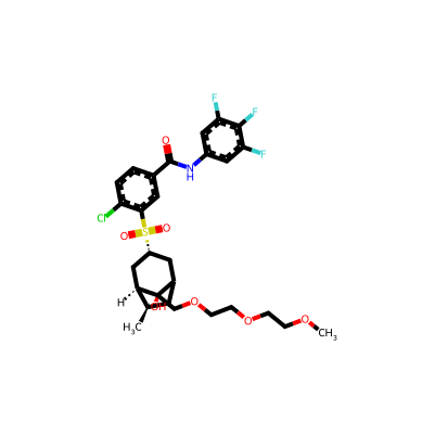 COCCOCCOC[C@@]1(O)C2C[C@@H](S(=O)(=O)c3cc(C(=O)Nc4cc(F)c(F)c(F)c4)ccc3Cl)C[C@@H]1[C@H](C)C2